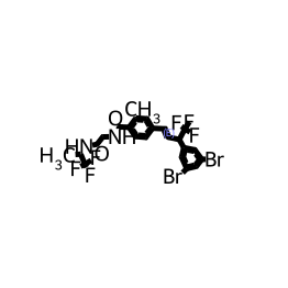 Cc1cc(/C=C/C(c2cc(Br)cc(Br)c2)C(F)(F)F)ccc1C(=O)NCC(=O)NC(C)C(F)(F)F